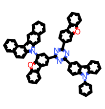 c1ccc(-n2c3ccccc3c3cc(-c4nc(-c5ccc6c(c5)oc5ccccc56)nc(-c5cc(-n6c7cc8ccccc8cc7c7c8ccccc8ccc76)c6oc7ccccc7c6c5)n4)ccc32)cc1